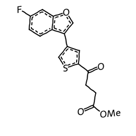 COC(=O)CCC(=O)c1cc(-c2coc3cc(F)ccc23)cs1